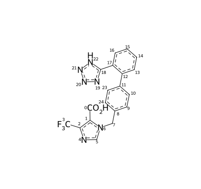 O=C(O)c1c(C(F)(F)F)ncn1Cc1ccc(-c2ccccc2-c2nnn[nH]2)cc1